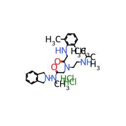 Cc1cccc(C)c1NCC(=O)N(CCNC(C)C)CC(=O)N(C)N1Cc2ccccc2C1.Cl.Cl